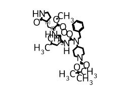 COC(=O)[C@H](C[C@@H]1CCNC1=O)NC(=O)[C@H](CC(C)C)NC(=O)N(Cc1ccccc1)C1CCN(C(=O)OC(C)(C)C)CC1